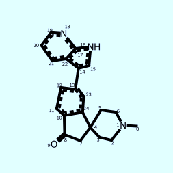 CN1CCC2(CC1)CC(=O)c1ccc(-c3c[nH]c4ncccc34)cc12